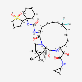 CC1(C)[C@@H]2[C@H]3C(=O)N[C@H](C(=O)C(=O)NC4CC4)CCCCC(F)(F)CCCC[C@H](NC(=O)NC4(C5CCCS5(=O)=O)CCCCC4)C(=O)N3C[C@@H]21